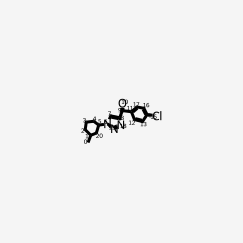 CC1CCCC(n2cc(C(=O)c3ccc(Cl)cc3)nn2)C1